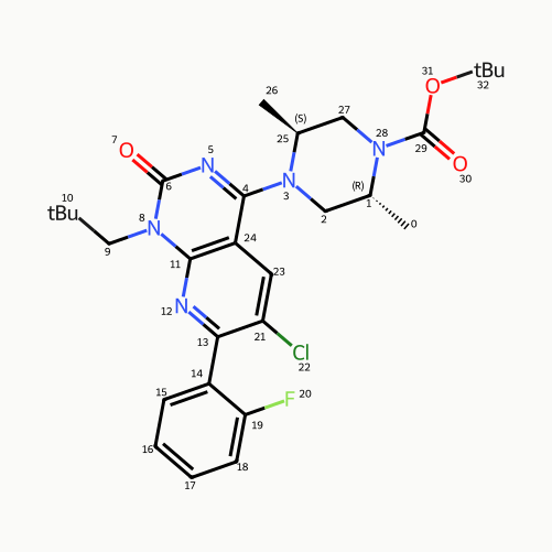 C[C@@H]1CN(c2nc(=O)n(CC(C)(C)C)c3nc(-c4ccccc4F)c(Cl)cc23)[C@@H](C)CN1C(=O)OC(C)(C)C